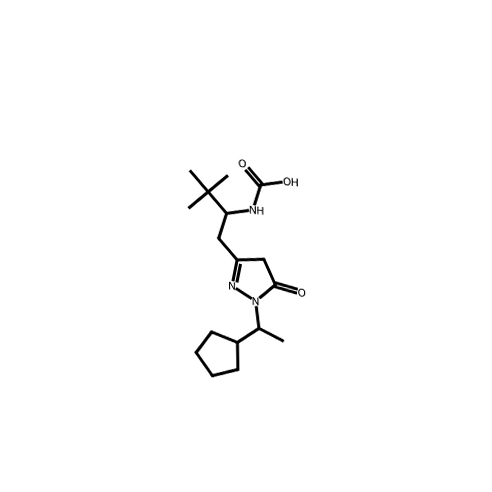 CC(C1CCCC1)N1N=C(CC(NC(=O)O)C(C)(C)C)CC1=O